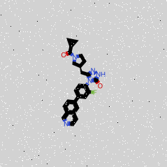 O=C(C1CC1)N1CC[C@@H](Cc2n[nH]c(=O)n2-c2ccc(-c3ccc4cnccc4c3)cc2F)C1